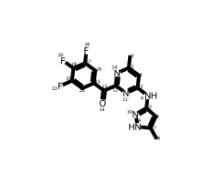 Cc1cc(Nc2cc(C)[nH]n2)nc(C(=O)c2cc(F)c(F)c(F)c2)n1